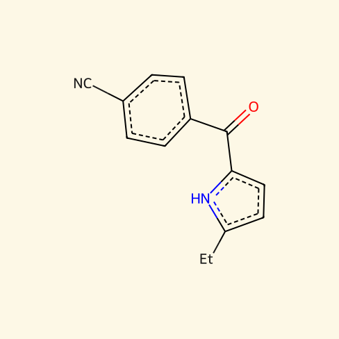 CCc1ccc(C(=O)c2ccc(C#N)cc2)[nH]1